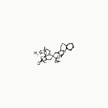 CC(C)Cc1oc(=O)oc1C[C@@](Cc1ncn2c1CCc1ccccc1-2)(C(=O)O)N1CC[C@H](N)C1